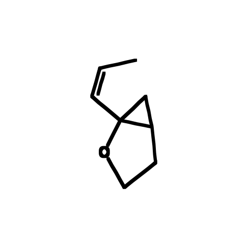 C/C=C\C12CC1CCO2